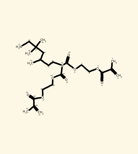 C=C(C)C(=O)OCCOC(=O)N(CCC(C)CC(C)(C)CN)C(=O)OCCOC(=O)C(=C)C